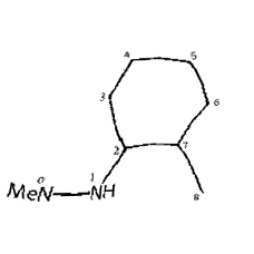 CNNC1CCCCC1C